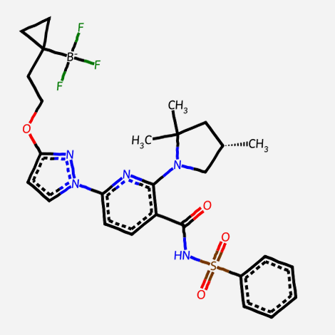 C[C@@H]1CN(c2nc(-n3ccc(OCCC4([B-](F)(F)F)CC4)n3)ccc2C(=O)NS(=O)(=O)c2ccccc2)C(C)(C)C1